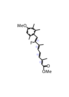 COC(=O)/C=C(C)/C=C/C=C(C)/C(F)=C/c1c(C)cc(OC)c(C)c1C